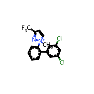 C[N+]1(c2ccccc2-c2cc(Cl)cc(Cl)c2)C=CC(C(F)(F)F)=N1